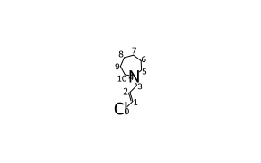 ClC=CCN1CCCCCC1